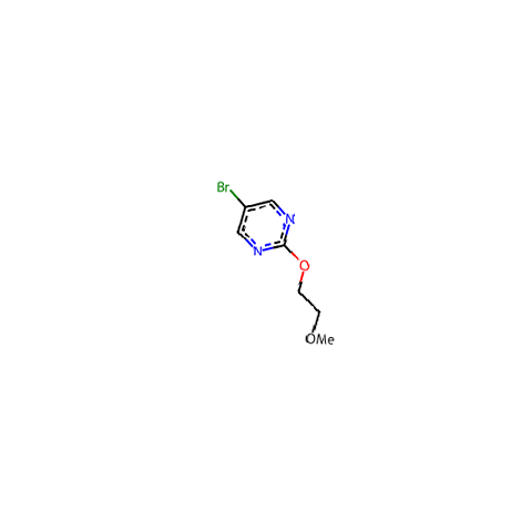 COCCOc1ncc(Br)cn1